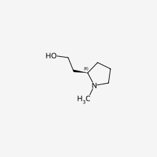 CN1CCC[C@@H]1CCO